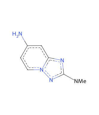 CNc1nc2cc(N)ccn2n1